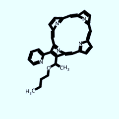 CCCCOC(C)C1=C(c2ccccn2)C2=NC1=CC1=NC(=CC3=NC(=CC4=NC(=C2)C=C4)C=C3)C=C1